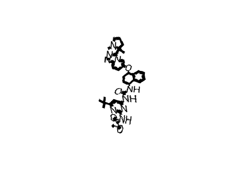 CN1CCCC1(C)c1nnc2ccc(O[C@@H]3CC[C@H](NC(=O)Nc4cc(C(C)(C)C)nc(NS(C)(=O)=O)n4)c4ccccc43)cn12